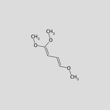 CO/C=C/C=C(OC)OC